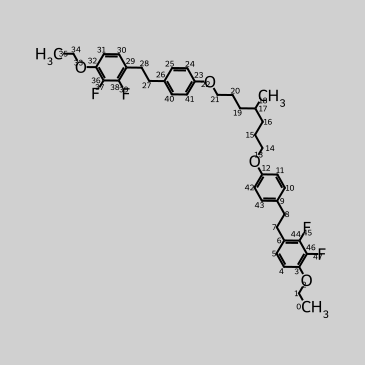 CCOc1ccc(CCc2ccc(OCCCC(C)CCCOc3ccc(CCc4ccc(OCC)c(F)c4F)cc3)cc2)c(F)c1F